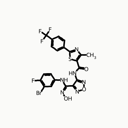 Cc1nc(-c2ccc(C(F)(F)F)cc2)sc1C(=O)Nc1nonc1/C(=N\O)Nc1ccc(F)c(Br)c1